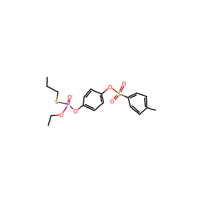 CCCSP(=O)(OCC)Oc1ccc(OS(=O)(=O)c2ccc(C)cc2)cc1